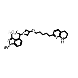 Cc1nn(C(C)C)c2cccc(C(C(=O)O)N3CC(OCCCCCc4ccc5c(n4)NCCC5)C3)c12